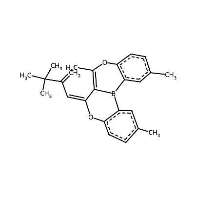 C=C(/C=C1/Oc2ccc(C)cc2B2C1=C(C)Oc1ccc(C)cc12)C(C)(C)C